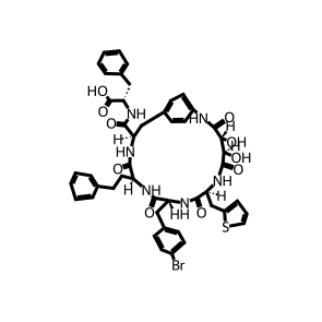 O=C(O)[C@H](Cc1ccccc1)NC(=O)[C@H]1Cc2ccc(cc2)NC(=O)[C@H](O)[C@@H](O)C(=O)N[C@@H](Cc2cccs2)C(=O)N[C@H](Cc2ccc(Br)cc2)C(=O)N[C@@H](CCc2ccccc2)C(=O)N1